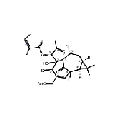 C/C=C(/C)C(=O)O[C@H]1C(C)=C[C@]23C(=O)[C@@H](C=C(COC)[C@@H](O)[C@]12O)[C@H]1[C@@H](C[C@H]3C)C1(C)C